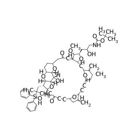 C=C1C2C[C@@H]3O[C@H](C[C@H](O)CNC(=O)OC(C)(C)C)[C@H](OC)[C@H]3CC(=O)CC3CC[C@@H]4O[C@H]5[C@@H](CC(C)(C)[Si](O)(c6ccccc6)c6ccccc6)[C@@H](CC(=O)CCC6CC(=C)[C@H](CC[C@@H](C[C@H]1C)O2)O6)O[C@H]5[C@@H](O)[C@H]4O3